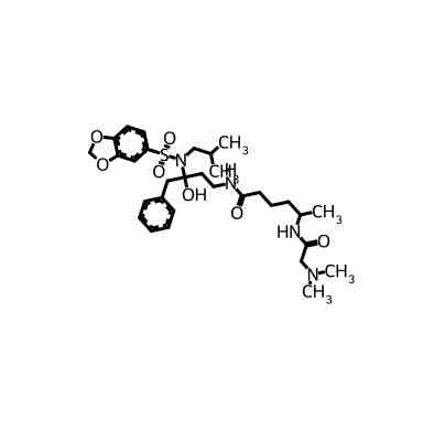 CC(C)CN(C(O)(CCNC(=O)CCCC(C)NC(=O)CN(C)C)Cc1ccccc1)S(=O)(=O)c1ccc2c(c1)OCO2